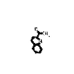 [CH2]C(=O)c1ccc2ccccc2n1